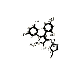 CC1C(N[C@H]2CC[C@@H](F)C2)=C(c2ccc(Cl)cc2Cl)N(c2cc(F)cc(F)c2)N1C